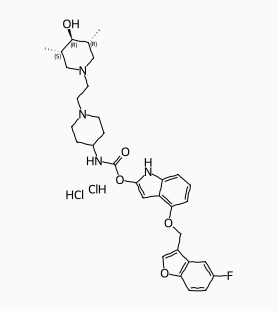 C[C@@H]1CN(CCN2CCC(NC(=O)Oc3cc4c(OCc5coc6ccc(F)cc56)cccc4[nH]3)CC2)C[C@H](C)[C@H]1O.Cl.Cl